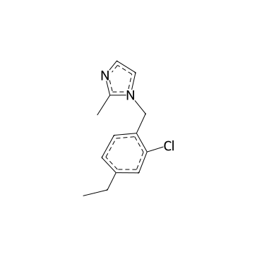 CCc1ccc(Cn2ccnc2C)c(Cl)c1